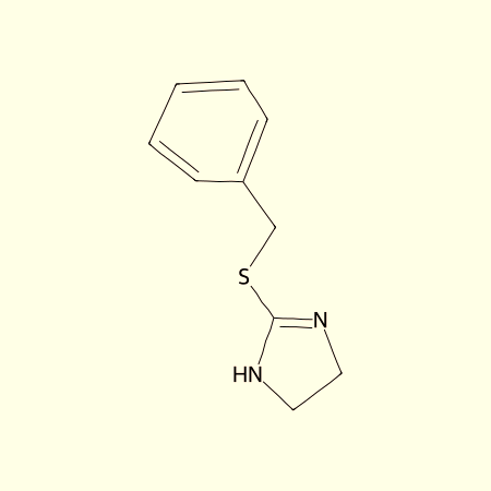 c1ccc(CSC2=NCCN2)cc1